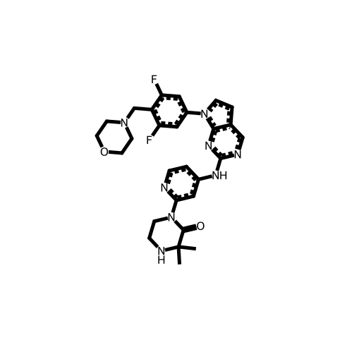 CC1(C)NCCN(c2cc(Nc3ncc4ccn(-c5cc(F)c(CN6CCOCC6)c(F)c5)c4n3)ccn2)C1=O